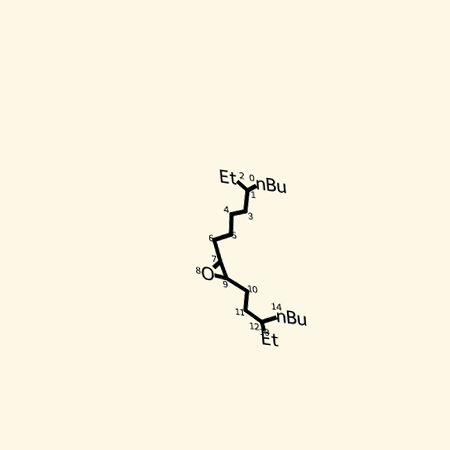 CCCCC(CC)CCCCC1OC1CCC(CC)CCCC